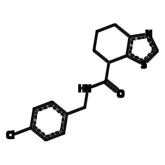 O=C(NCc1ccc(Cl)cc1)C1CCCc2ncsc21